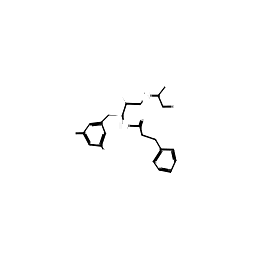 CC(CO)NC[C@H](O)[C@H](Cc1cc(F)cc(F)c1)NC(=O)CCc1ccccc1